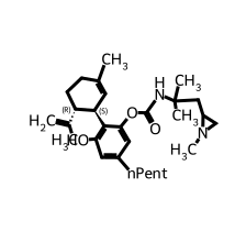 C=C(C)[C@@H]1CCC(C)=C[C@H]1c1c(O)cc(CCCCC)cc1OC(=O)NC(C)(C)CC1CN1C